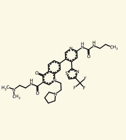 CCCNC(=O)Nc1cc(-c2nc(C(F)(F)F)cs2)c(-c2ccc3c(=O)c(C(=O)NCCN(C)C)cn(CCN4CCCC4)c3c2)cn1